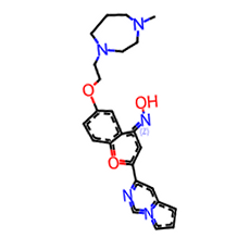 CN1CCCN(CCOc2ccc3oc(-c4cc5cccn5cn4)c/c(=N/O)c3c2)CC1